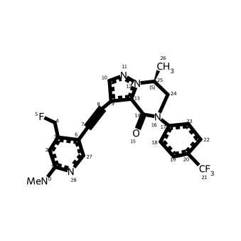 CNc1cc(CF)c(C#Cc2cnn3c2C(=O)N(c2ccc(C(F)(F)F)cc2)C[C@@H]3C)cn1